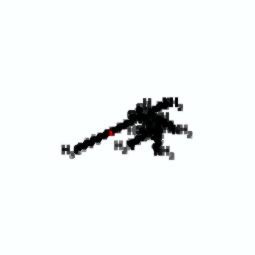 CCCCCCCCCCCCCCCCCC(=O)N[C@@H](CS)C(=O)N[C@@H](CCCCN)C(=O)N[C@@H](CCCCN)C(=O)N[C@@H](CCCCN)C(=O)N[C@@H](CCCCN)C(=O)O